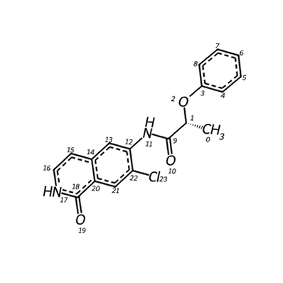 C[C@@H](Oc1ccccc1)C(=O)Nc1cc2cc[nH]c(=O)c2cc1Cl